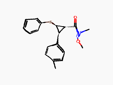 CON(C)C(=O)[C@H]1[C@H](Sc2ccccc2)[C@@H]1c1ccc(C)cc1